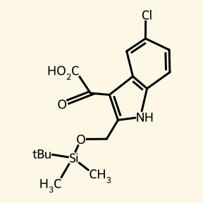 CC(C)(C)[Si](C)(C)OCc1[nH]c2ccc(Cl)cc2c1C(=O)C(=O)O